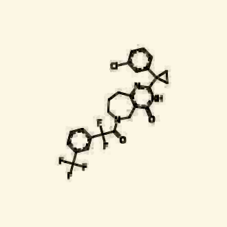 O=C(N1CCCc2nc(C3(c4cccc(Cl)c4)CC3)[nH]c(=O)c2C1)C(F)(F)c1cccc(C(F)(F)F)c1